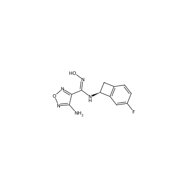 Nc1nonc1/C(=N\O)N[C@H]1Cc2ccc(F)cc21